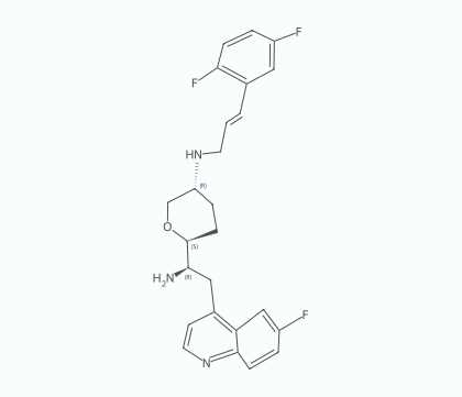 N[C@H](Cc1ccnc2ccc(F)cc12)[C@@H]1CC[C@@H](NCC=Cc2cc(F)ccc2F)CO1